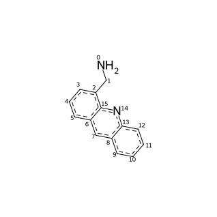 NCc1cccc2cc3ccccc3nc12